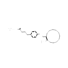 COC(=O)CCCc1ccc(OCC2=C(Br)CCCCCCCCCC2)cc1